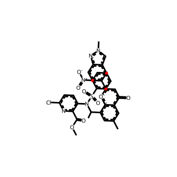 COC(=O)c1nc(Cl)ccc1N(C(C)c1cc(C)cc2c(=O)cc(-c3ccc4nn(C)cc4c3)oc12)S(=O)(=O)c1ccccc1[N+](=O)[O-]